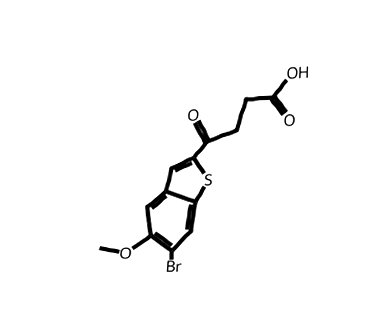 COc1cc2cc(C(=O)CCC(=O)O)sc2cc1Br